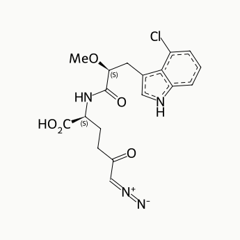 CO[C@@H](Cc1c[nH]c2cccc(Cl)c12)C(=O)N[C@@H](CCC(=O)C=[N+]=[N-])C(=O)O